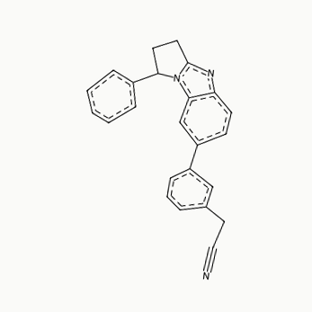 N#CCc1cccc(-c2ccc3nc4n(c3c2)C(c2ccccc2)CC4)c1